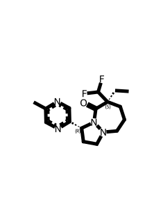 CC[C@]1(C(F)F)CCCN2CC[C@H](c3cnc(C)cn3)N2C1=O